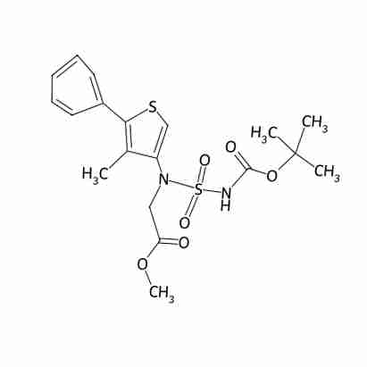 COC(=O)CN(c1csc(-c2ccccc2)c1C)S(=O)(=O)NC(=O)OC(C)(C)C